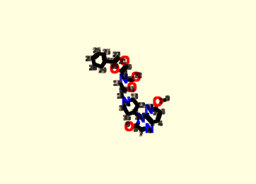 COc1ccc2ncc(=O)n(C3CCN(C[C@@H]4CN(C5=COC=C(C6=CC=CCC6)O5)C(=O)O4)CC3)c2n1